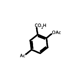 CC(=O)Oc1ccc(C(C)=O)cc1C(=O)O